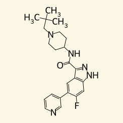 CC(C)(C)CN1CCC(NC(=O)c2n[nH]c3cc(F)c(-c4cccnc4)cc23)CC1